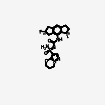 C[C@H]1CCc2cc3c(c(NC(=O)N=S(N)(=O)c4cnn5c4OCCC5)c21)C[C@@H](F)C3